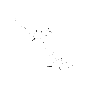 CCCCN1C(=O)CC(=O)N(C2CCC3(CC2)CC(N2C(=O)N(COCC[Si](C)(C)C)C(=O)C24CS(=O)(=O)C4)C3)C1=O